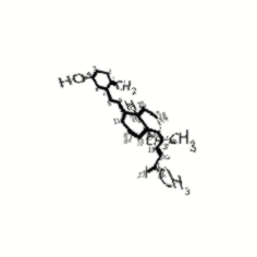 C=C1CC[C@H](O)C/C1=C/C=C1\CCC[C@]2(C)[C@@H]([C@H](C)/C=C/[C@H](C)I)CC[C@@H]12